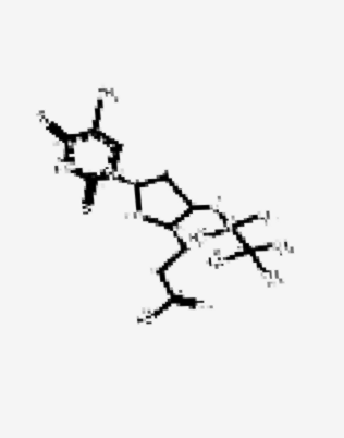 Cc1cn([C@H]2CC(O[Si](C)(C)C(C)(C)C)[C@@H](CCC(=O)O)O2)c(=O)[nH]c1=O